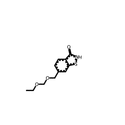 CCOCOCc1ccc2c(=O)[nH]sc2c1